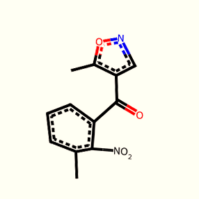 Cc1cccc(C(=O)c2cnoc2C)c1[N+](=O)[O-]